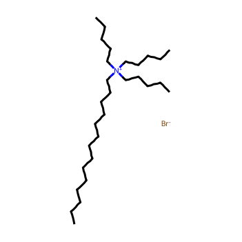 CCCCCCCCCCCCCC[N+](CCCCC)(CCCCC)CCCCC.[Br-]